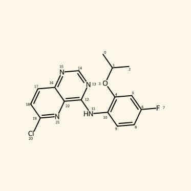 CC(C)Oc1cc(F)ccc1Nc1ncnc2ccc(Cl)nc12